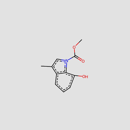 COC(=O)n1cc(C)c2cccc(O)c21